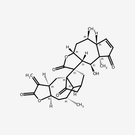 C=C1C(=O)O[C@@H]2C[C@@H](C)[C@@H]3C4CC(=O)[C@@]3(C[C@H]12)[C@@]1(C4)C(=O)O[C@@H]2C[C@@H](C)[C@@H]3C=CC(=O)[C@@]3(C)[C@@H](O)[C@@H]21